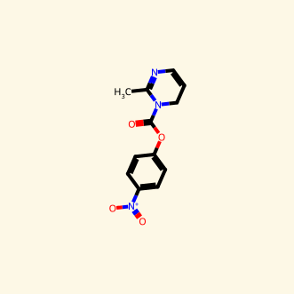 CC1=NC=CCN1C(=O)Oc1ccc([N+](=O)[O-])cc1